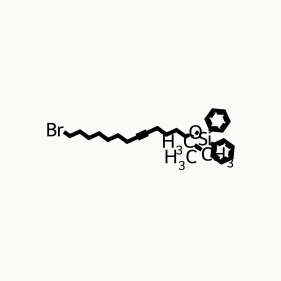 CC(C)(C)[Si](OCCCCC#CCCCCCCCBr)(c1ccccc1)c1ccccc1